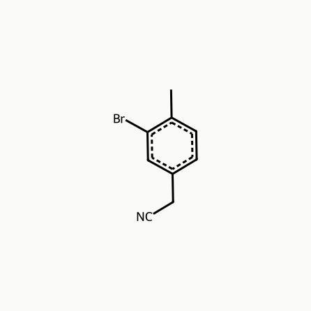 Cc1ccc(CC#N)cc1Br